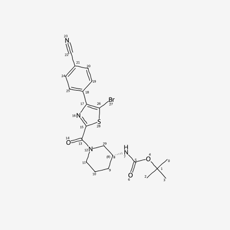 CC(C)(C)OC(=O)N[C@@H]1CCCN(C(=O)c2nc(-c3ccc(C#N)cc3)c(Br)s2)C1